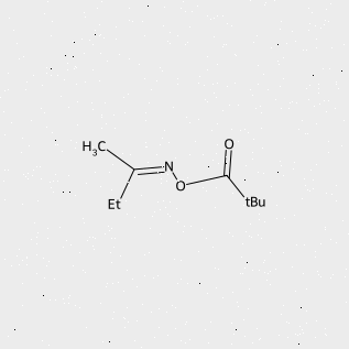 CC/C(C)=N\OC(=O)C(C)(C)C